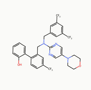 Oc1ccccc1-c1ccc(C(F)(F)F)cc1CN(Cc1cc(C(F)(F)F)cc(C(F)(F)F)c1)c1ncc(N2CCOCC2)cn1